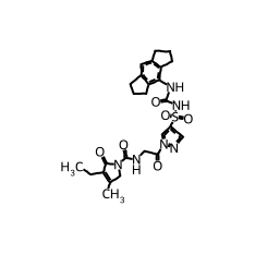 CCC1=C(C)CN(C(=O)NCC(=O)n2cc(S(=O)(=O)NC(=O)Nc3c4c(cc5c3CCC5)CCC4)cn2)C1=O